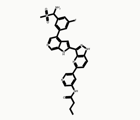 CCCC(=O)Nc1cncc(-c2ccc3[nH]nc(-c4cc5c(-c6cc(F)cc(C(N)S(C)(=O)=O)c6)cncc5[nH]4)c3n2)c1